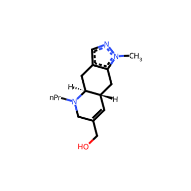 CCCN1CC(CO)=C[C@H]2Cc3c(cnn3C)C[C@@H]21